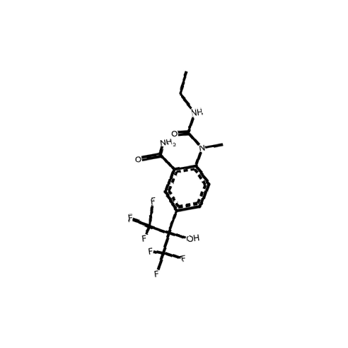 CCNC(=O)N(C)c1ccc(C(O)(C(F)(F)F)C(F)(F)F)cc1C(N)=O